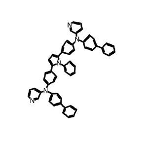 c1ccc(-c2ccc(N(c3ccc(-c4ccc(-c5ccc(N(c6ccc(-c7ccccc7)cc6)c6cccnc6)cc5)n4-c4ccccc4)cc3)c3cccnc3)cc2)cc1